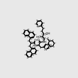 O=C(NC(Cc1c[nH]cn1)C(=O)N[C@@H](CC1CCCCC1)[C@@H](O)[C@@H](O)CCc1ccccn1)C(Cc1cccc2ccccc12)Cc1cccc2ccccc12